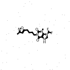 Cc1cc(CCCCn2c(=O)c3c(n(C)c2=O)N(C(F)F)CN3)on1